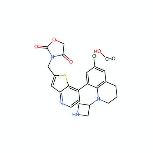 O=C1COC(=O)N1Cc1cc2nccc(-c3cc(Cl)cc4c3N(C3CNC3)CCC4)c2s1.O=CO